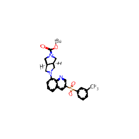 CC(C)(C)OC(=O)N1C[C@@H]2CN(c3cccc4cc(S(=O)(=O)c5cccc(C(F)(F)F)c5)cnc34)C[C@@H]2C1